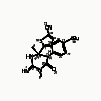 CN1C(=N)N[C@](C)(c2ccc(C#N)s2)[C@@H](c2ccc(C(C)(C)C)cc2)C1=O